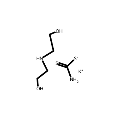 NC(=S)[S-].OCCNCCO.[K+]